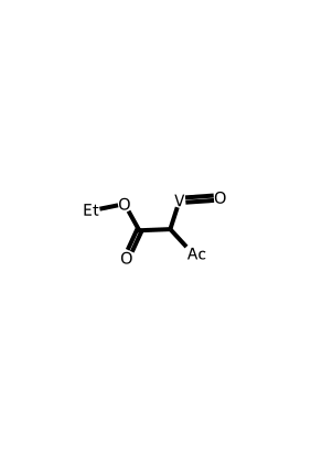 CCOC(=O)[CH]([V]=[O])C(C)=O